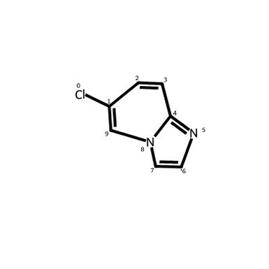 Clc1ccc2n[c]cn2c1